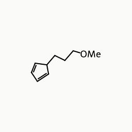 COCCCC1C=CC=C1